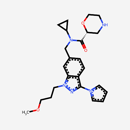 COCCCn1nc(-n2cccc2)c2ccc(CN(C(=O)[C@H]3CNCCO3)C3CC3)cc21